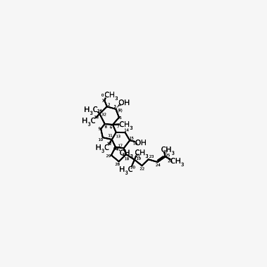 CCC1[C@H](O)CC2(C)C(CCC3(C)C2CC(O)C2C(C(C)(C)CCC=C(C)C)CC[C@]23C)C1(C)C